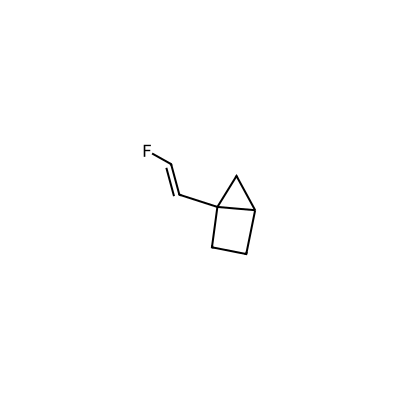 FC=CC12CCC1C2